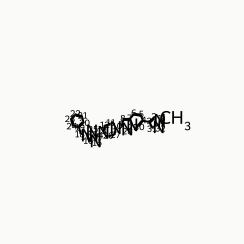 Cn1cc(-c2ccc3cc(N4CCN(c5ncn(Cc6ccccc6)n5)CC4)nn3c2)cn1